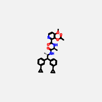 COc1ccnc(C(=O)N[C@@H](C)C(=O)N[C@@H](C)C(c2cccc(C3CC3)c2)c2cccc(C3CC3)c2)c1OC(C)=O